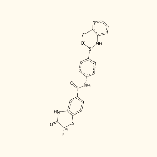 C[C@H]1Sc2ccc(C(=O)Nc3ccc([S+]([O-])Nc4ccccc4F)cc3)cc2NC1=O